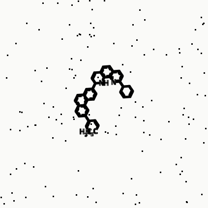 C/C=C\C(=C/C)c1ccc2ccc3cc(C4C=Cc5ccc6ccc(C7C=CC=CC7)nc6c5N4)ccc3c2c1